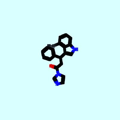 COc1cccc2[nH]cc(C(CC(=O)n3ccnc3)c3ccccc3)c12